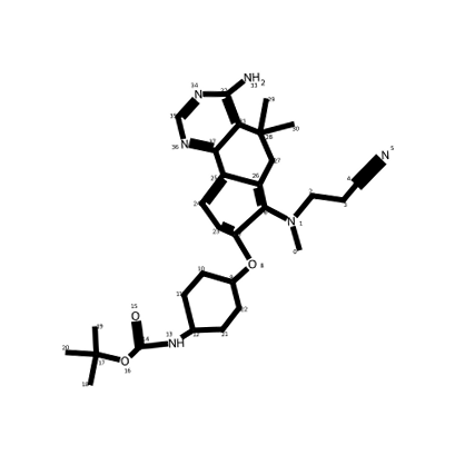 CN(CCC#N)c1c(OC2CCC(NC(=O)OC(C)(C)C)CC2)ccc2c1CC(C)(C)c1c(N)ncnc1-2